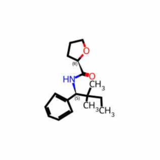 CCC(C)(C)[C@H](NC(=O)[C@H]1CCCO1)c1ccccc1